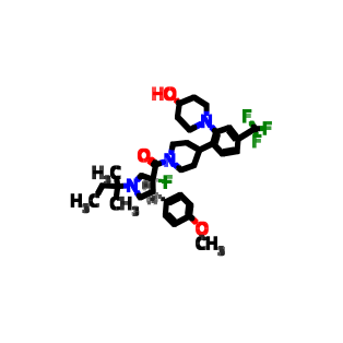 CCC(C)(C)N1C[C@@H](c2ccc(OC)cc2)[C@](F)(C(=O)N2CCC(c3ccc(C(F)(F)F)cc3N3CCC(O)CC3)CC2)C1